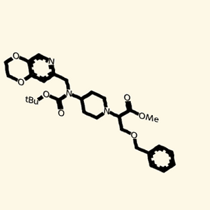 COC(=O)C(COCc1ccccc1)N1CCC(N(Cc2cc3c(cn2)OCCO3)C(=O)OC(C)(C)C)CC1